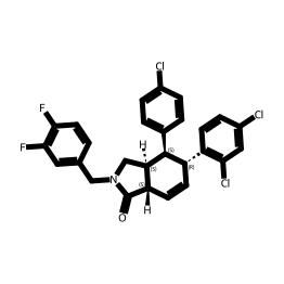 O=C1[C@H]2C=C[C@@H](c3ccc(Cl)cc3Cl)[C@H](c3ccc(Cl)cc3)[C@@H]2CN1Cc1ccc(F)c(F)c1